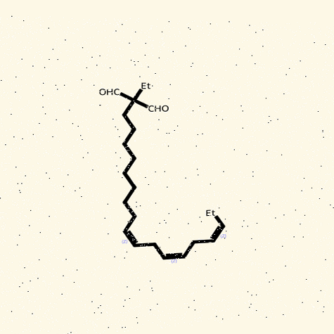 CC/C=C\C/C=C\C/C=C\CCCCCCCCC(C=O)(C=O)CC